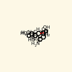 C[C@]12C(CC[C@@H]3[C@H]1CC[C@]1(C)C(O)CC[C@@H]31)CC(N)CC2C12CC(N)CC[C@]1(C)[C@@H]1CC[C@]3(C)C(O)CC[C@H]3[C@@H]1C(O)C2